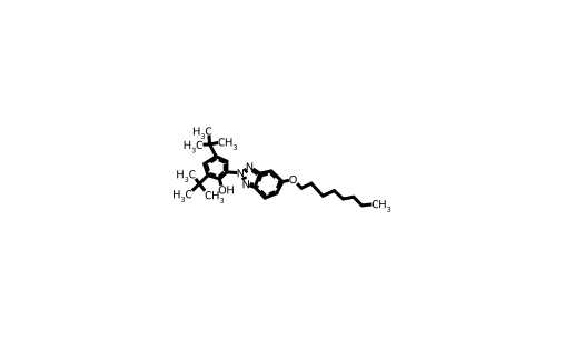 CCCCCCCCOc1ccc2nn(-c3cc(C(C)(C)C)cc(C(C)(C)C)c3O)nc2c1